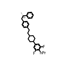 CCCc1c(F)cc(C2CCC(CCc3ccc(C[C@H](C)c4ccccc4)cc3)CC2)cc1F